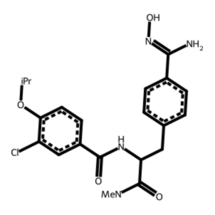 CNC(=O)C(Cc1ccc(/C(N)=N/O)cc1)NC(=O)c1ccc(OC(C)C)c(Cl)c1